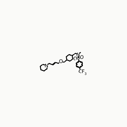 CN(CC1CCC(COC/C=C/CN2CCCCC2)CC1)S(=O)(=O)c1ccc(C(F)(F)F)cc1